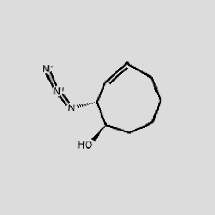 [N-]=[N+]=N[C@@H]1C=CCCCC[C@H]1O